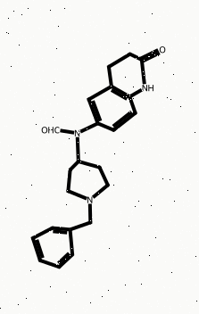 O=CN(c1ccc2c(c1)CCC(=O)N2)C1CCN(Cc2ccccc2)CC1